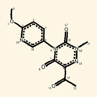 COc1ccc(-n2c(=O)c(C(C)=O)nn(C)c2=O)cn1